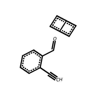 C#Cc1ccccc1C=O.c1cc2ccc1-2